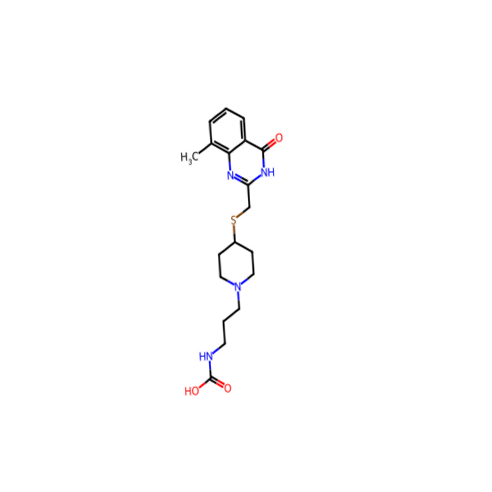 Cc1cccc2c(=O)[nH]c(CSC3CCN(CCCNC(=O)O)CC3)nc12